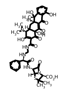 CN(C)[C@@H]1C(O)=C(C(=O)NCN[C@@H](C(=O)N[C@@H]2C(=O)N3[C@@H]2SC(C)(C)[C@@H]3C(=O)O)c2ccccc2)C(=O)[C@@]2(O)C(O)=C3C(=O)c4c(O)cccc4[C@@](C)(O)[C@H]3C[C@@H]12